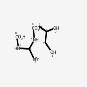 CC(O)CO.CCCC(NC(=O)O)NC(=O)O